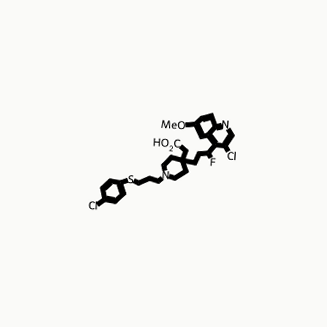 COc1ccc2ncc(Cl)c(C(F)CCC3(CC(=O)O)CCN(CCCSc4ccc(Cl)cc4)CC3)c2c1